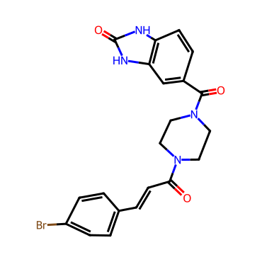 O=C(C=Cc1ccc(Br)cc1)N1CCN(C(=O)c2ccc3[nH]c(=O)[nH]c3c2)CC1